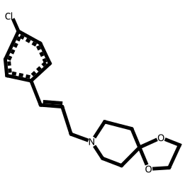 Clc1ccc(C=CCN2CCC3(CC2)OCCO3)cc1